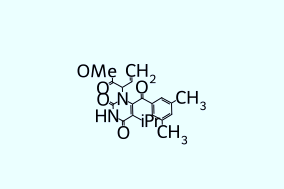 C=CC(C(=O)OC)n1c(C(=O)c2cc(C)cc(C)c2)c(C(C)C)c(=O)[nH]c1=O